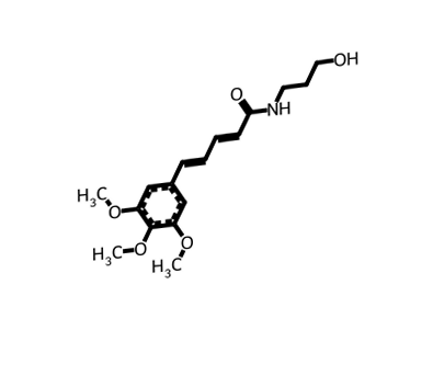 COc1cc(/C=C/C=C/C(=O)NCCCO)cc(OC)c1OC